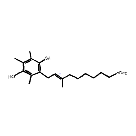 CCCCCCCCCCCCCCCC/C(C)=C/Cc1c(C)c(O)c(C)c(C)c1O